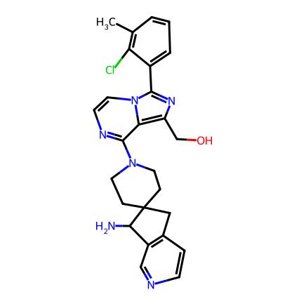 Cc1cccc(-c2nc(CO)c3c(N4CCC5(CC4)Cc4ccncc4C5N)nccn23)c1Cl